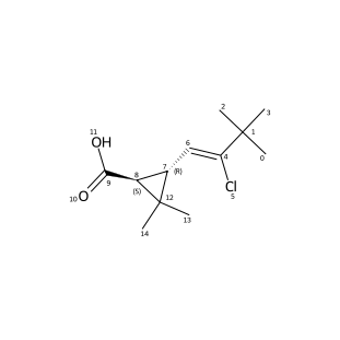 CC(C)(C)C(Cl)=C[C@H]1[C@H](C(=O)O)C1(C)C